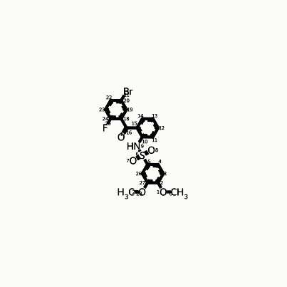 COc1ccc(S(=O)(=O)Nc2ccccc2C(=O)c2cc(Br)ccc2F)cc1OC